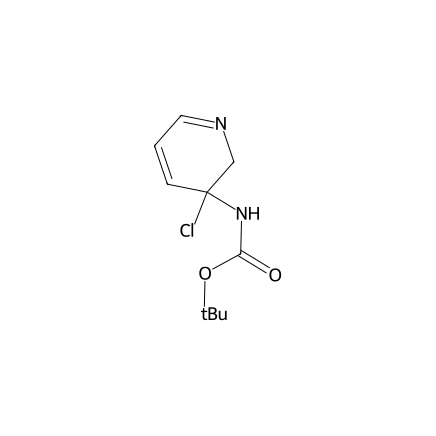 CC(C)(C)OC(=O)NC1(Cl)C=CC=NC1